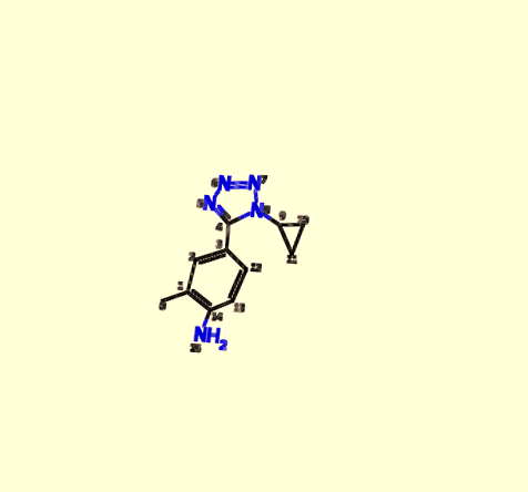 Cc1cc(-c2nnnn2C2CC2)ccc1N